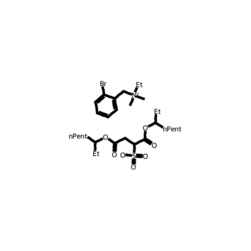 CCCCCC(CC)OC(=O)CC(C(=O)OC(CC)CCCCC)S(=O)(=O)[O-].CC[N+](C)(C)Cc1ccccc1Br